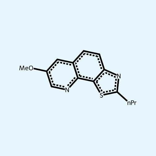 CCCc1nc2ccc3cc(OC)cnc3c2s1